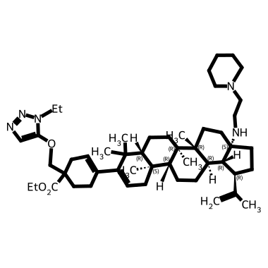 C=C(C)[C@@H]1CC[C@]2(NCCN3CCCCC3)CC[C@]3(C)[C@H](CC[C@@H]4[C@@]5(C)CC=C(C6=CCC(COc7cnnn7CC)(C(=O)OCC)CC6)C(C)(C)[C@@H]5CC[C@]43C)[C@@H]12